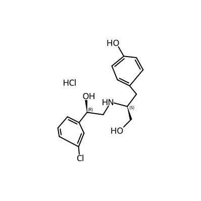 Cl.OC[C@H](Cc1ccc(O)cc1)NC[C@H](O)c1cccc(Cl)c1